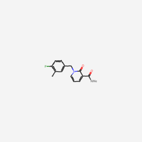 CNC(=O)c1cccn(Cc2ccc(F)c(C)c2)c1=O